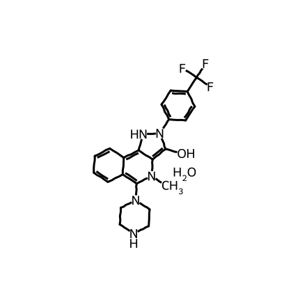 CN1C2=C(O)N(c3ccc(C(F)(F)F)cc3)NC2=c2ccccc2=C1N1CCNCC1.O